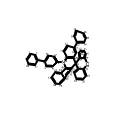 c1ccc(-c2ccc(N3c4ccc(-c5ccccc5)cc4C4(c5ccccc5Oc5ccccc54)c4ccc5ccccc5c43)cc2)cc1